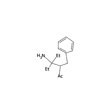 CCC(N)(CC)C(Cc1ccccc1)C(C)=O